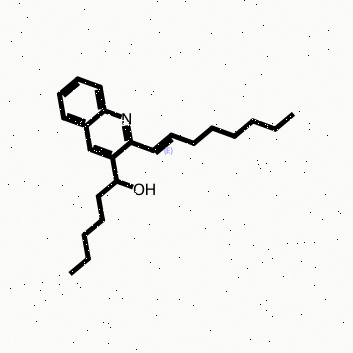 CCCCCC/C=C/c1nc2ccccc2cc1C(O)CCCCC